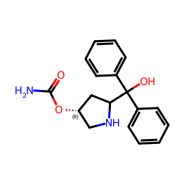 NC(=O)O[C@H]1CNC(C(O)(c2ccccc2)c2ccccc2)C1